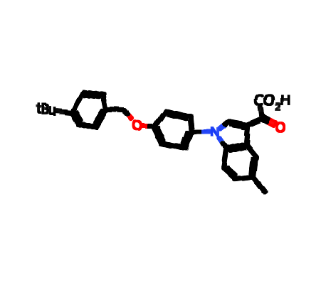 Cc1ccc2c(c1)c(C(=O)C(=O)O)cn2-c1ccc(OCc2ccc(C(C)(C)C)cc2)cc1